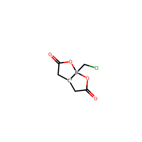 O=C1C[C+]2CC(=O)O[B-]2(CCl)O1